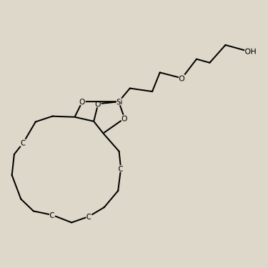 OCCCOCCC[Si]12OC3CCCCCCCCCCCCCCC(O1)C3O2